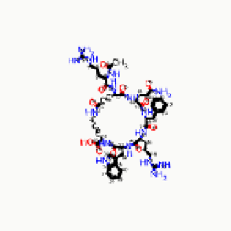 CC(=O)NC(CCCNC(=N)N)C(=O)NC1CCC(=O)NCCCC(C(=O)O)NC(=O)[C@H](Cc2c[nH]c3ccccc23)NC(=O)[C@H](CCCNC(=N)N)NC(=O)C(Cc2ccccc2)NC(=O)[C@H](CCC(N)=O)NC1=O